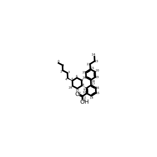 CCCCC[C@H]1CC[C@H](c2c(C(=O)O)cccc2-c2ccc(CCC)cc2)CC1